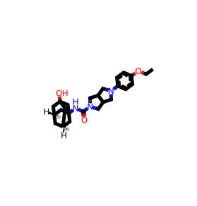 CCOc1ccc(N2CC3CN(C(=O)NC45C[C@@H]6C[C@@H](CC(O)(C6)C4)C5)CC3C2)cc1